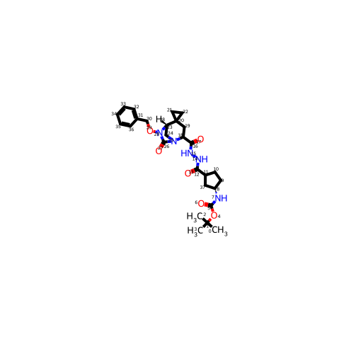 CC(C)(C)OC(=O)N[C@H]1CCC(C(=O)NNC(=O)C2CC3(CC3)[C@@H]3CN2C(=O)N3OCc2ccccc2)C1